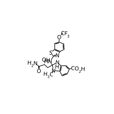 CN1c2ccc(C(=O)O)cc2NC1(C[C@@H](O)C(N)=O)Nc1nc2ccc(OC(F)(F)F)cc2s1